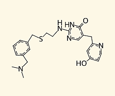 CN(C)Cc1cccc(CSCCNc2ncc(Cc3cc(O)ccn3)c(=O)[nH]2)c1